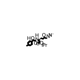 Cc1ccc([C@H](O)C(=O)N[C@@H](CCC(=O)C=[N+]=[N-])C(=O)OC(C)C)cc1